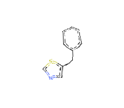 c1ccc(Cc2cncs2)cc1